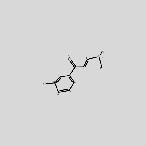 CN(C)/C=C/C(=O)c1cccc(I)c1